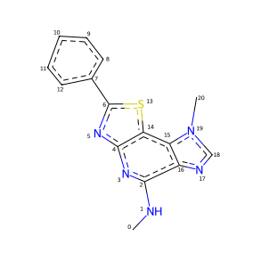 CNc1nc2nc(-c3ccccc3)sc2c2c1ncn2C